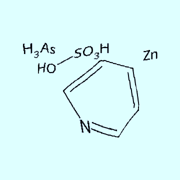 O=S(=O)(O)O.[AsH3].[Zn].c1ccncc1